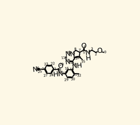 COCCNC(=O)C1CN2N=CN=C(Nc3cc(NC(=O)c4ccc(C#N)cc4)ccc3C)C2=C1C